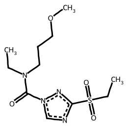 CCN(CCCOC)C(=O)n1cnc(S(=O)(=O)CC)n1